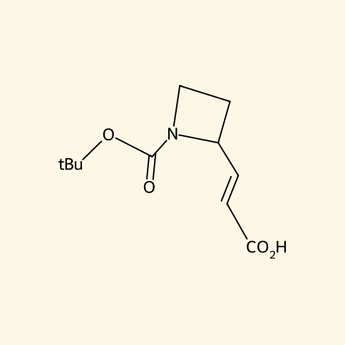 CC(C)(C)OC(=O)N1CCC1/C=C/C(=O)O